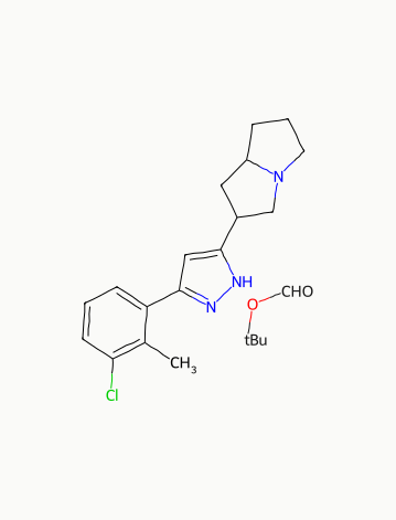 CC(C)(C)OC=O.Cc1c(Cl)cccc1-c1cc(C2CC3CCCN3C2)[nH]n1